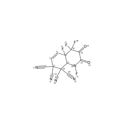 N#CC1(C#N)C=CC2(F)C(N(F)C(=O)C(=O)C2(F)F)C1(C#N)C#N